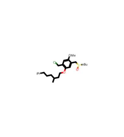 CCCC[S+]([O-])Cc1cc(OCCC(C)CCCC(C)C)c(CCl)cc1OC